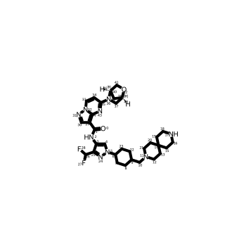 O=C(Nc1cn(C2CCC(CN3CCC4(CCNCC4)CC3)CC2)nc1C(F)F)c1cnn2ccc(N3C[C@H]4C[C@@H]3CO4)nc12